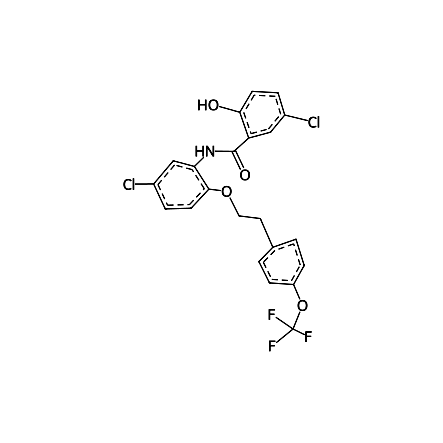 O=C(Nc1cc(Cl)ccc1OCCc1ccc(OC(F)(F)F)cc1)c1cc(Cl)ccc1O